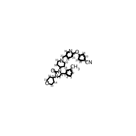 Cc1cccc(C2CN(C3CCOCC3)C(=O)N2C2CCN(Cc3ccc(Oc4ccc(C#N)cc4)nc3)CC2)c1